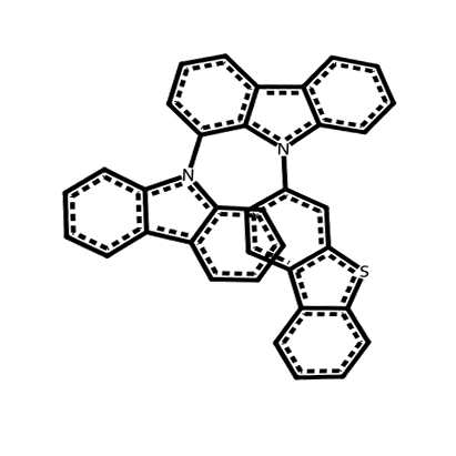 c1ccc2c(c1)sc1cc(-n3c4ccccc4c4cccc(-n5c6ccccc6c6ccccc65)c43)ccc12